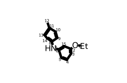 CCOc1cccc(Nc2ccc(C)cc2)c1